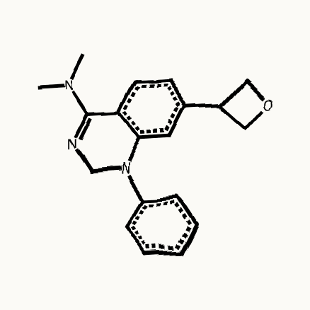 CN(C)C1=NCN(c2ccccc2)c2cc(C3COC3)ccc21